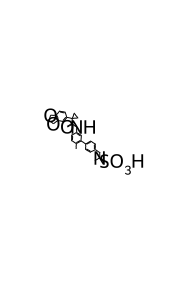 Cc1ccc(NC(=O)C2(c3ccc4c(c3)OCO4)CC2)cc1-c1ccc(CN(C)S(=O)(=O)O)cc1